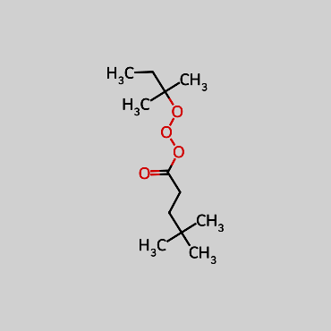 CCC(C)(C)OOOC(=O)CCC(C)(C)C